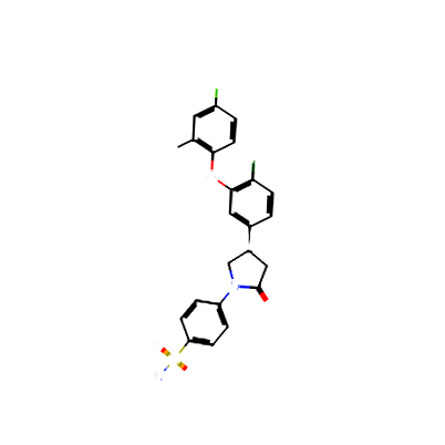 Cc1cc(F)ccc1Oc1cc([C@H]2CC(=O)N(c3ccc(S(N)(=O)=O)cc3)C2)ccc1Cl